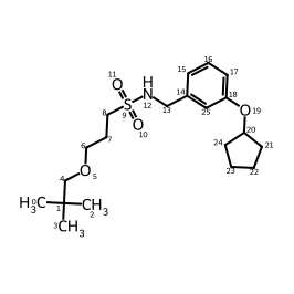 CC(C)(C)COCCCS(=O)(=O)NCc1cccc(OC2CCCC2)c1